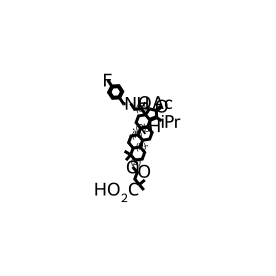 CC(=O)O[C@H](CNCc1ccc(F)cc1)C12CC[C@]3(C)[C@H](CCC4[C@@]5(C)CC[C@H](OC(=O)CC(C)(C)C(=O)O)C(C)(C)C5CC[C@]43C)C1=C(C(C)C)C(=O)C2